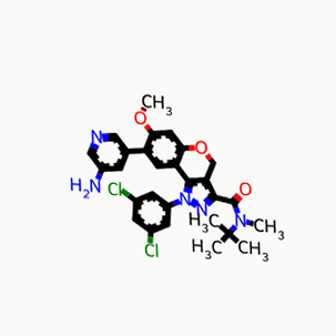 COc1cc2c(cc1-c1cncc(N)c1)-c1c(c(C(=O)N(C)C(C)(C)C)nn1-c1cc(Cl)cc(Cl)c1)CO2